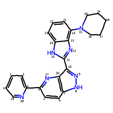 c1ccc(-c2ccc3[nH]nc(-c4nc5c(N6CCCCC6)cccc5[nH]4)c3n2)nc1